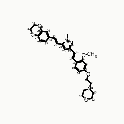 COc1cc(OCCN2CCOCC2)ccc1C=Cc1cc(C=Cc2ccc3c(c2)OCCO3)[nH]n1